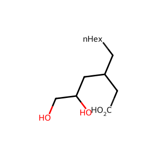 CCCCCCCC(CC(=O)O)CC(O)CO